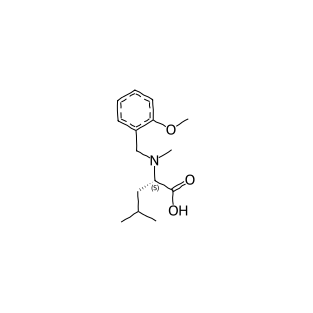 COc1ccccc1CN(C)[C@@H](CC(C)C)C(=O)O